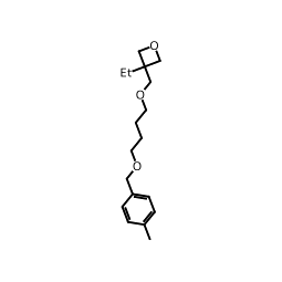 CCC1(COCCCCOCc2ccc(C)cc2)COC1